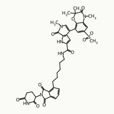 CN1C(=O)C(C)(C)Oc2c(-c3cn(C)c(=O)c4[nH]c(C(=O)NCCCCCCc5cccc6c5C(=O)N(C5CCC(=O)NC5=O)C6=O)cc34)cc(S(C)(=O)=O)cc21